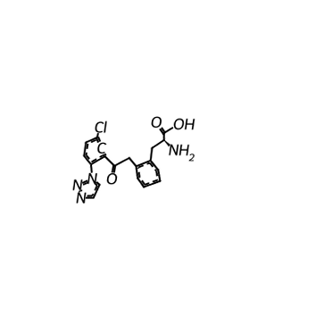 N[C@@H](Cc1ccccc1CC(=O)c1cc(Cl)ccc1-n1ccnn1)C(=O)O